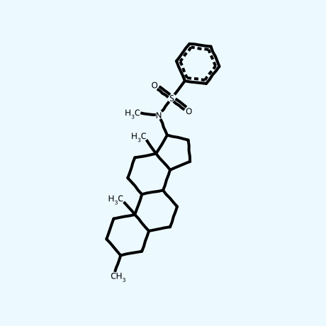 CC1CCC2(C)C(CCC3C2CCC2(C)C3CCC2N(C)S(=O)(=O)c2ccccc2)C1